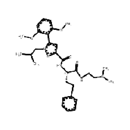 COc1cccc(OC)c1-c1cc(C(=O)N[C@@H](CCc2ccccc2)C(=O)NCCN(C)C)nn1CC(C)C